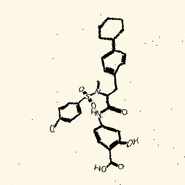 CN(C(Cc1ccc(C2CCCCC2)cc1)C(=O)Nc1ccc(C(=O)O)c(O)c1)S(=O)(=O)c1ccc(Cl)cc1